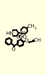 C#CCOc1ccc(C(=O)c2ccccc2)cc1S(=O)(=O)[N+]1(C2CCNCC2)CCC(C)CC1